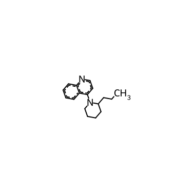 CCCC1CCCCN1c1ccnc2ccccc12